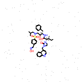 CC[C@H](C)[C@@H](C(=O)N[C@@H](Cc1ccccc1)[C@H](O)CN(CC(C)C)S(=O)(=O)c1ccc(C=NO)cc1)N1CCN(Cc2ccnc3ccccc23)C1=O